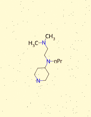 CCCN(CCN(C)C)C1CC[N]CC1